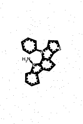 Nn1c2ccccc2c2ccc3c4sccc4n(-c4ccccc4)c3c21